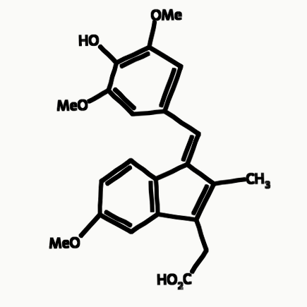 COc1ccc2c(c1)C(CC(=O)O)=C(C)/C2=C/c1cc(OC)c(O)c(OC)c1